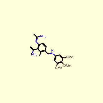 C=C(N)c1c(/N=C(/C)N)ccc(CNc2cc(OC)c(OC)c(OC)c2)c1C